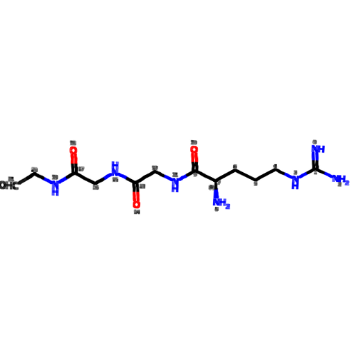 N=C(N)NCCC[C@@H](N)C(=O)NCC(=O)NCC(=O)NC[C]=O